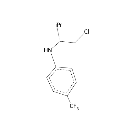 CC(C)[C@H](CCl)Nc1ccc(C(F)(F)F)cc1